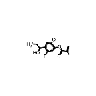 C=C(C)C(=O)Oc1cc(F)c(C(O)CN)cc1O